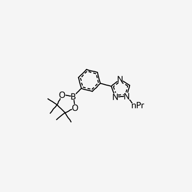 CCCn1cnc(-c2cccc(B3OC(C)(C)C(C)(C)O3)c2)n1